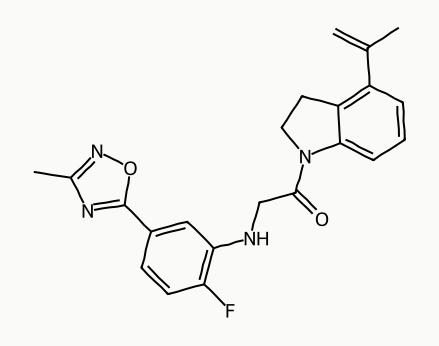 C=C(C)c1cccc2c1CCN2C(=O)CNc1cc(-c2nc(C)no2)ccc1F